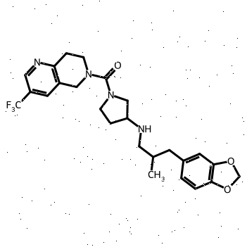 CC(CNC1CCN(C(=O)N2CCc3ncc(C(F)(F)F)cc3C2)C1)Cc1ccc2c(c1)OCO2